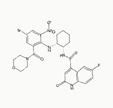 O=C(N[C@H]1CCCC[C@H]1Nc1c(C(=O)N2CCOCC2)cc(Br)cc1[N+](=O)[O-])c1cc(=O)[nH]c2ccc(F)cc12